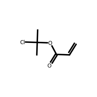 C=CC(=O)OC(C)(C)Cl